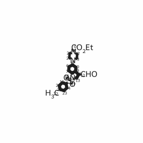 CCOC(=O)N1CCN(c2ccc3c(c2)c(C=O)cn3S(=O)(=O)c2ccc(C)cc2)CC1